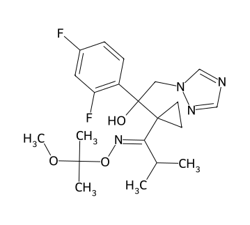 COC(C)(C)ON=C(C(C)C)C1(C(O)(Cn2cncn2)c2ccc(F)cc2F)CC1